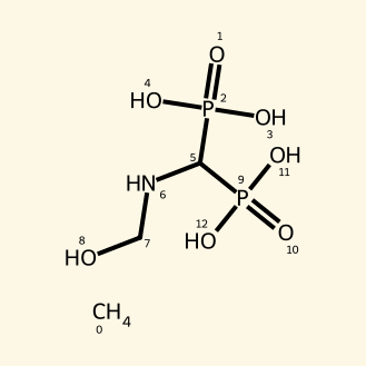 C.O=P(O)(O)C(NCO)P(=O)(O)O